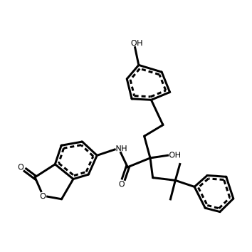 CC(C)(CC(O)(CCc1ccc(O)cc1)C(=O)Nc1ccc2c(c1)COC2=O)c1ccccc1